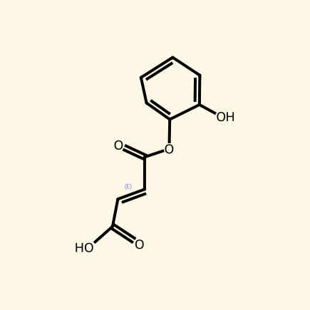 O=C(O)/C=C/C(=O)Oc1ccccc1O